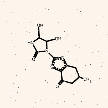 CC1CC(=O)c2sc(N3C(=O)NC(O)C3O)nc2C1